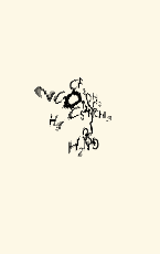 Cc1cc(C#N)c(C(F)(F)F)cc1N1C(=O)C(C)(C)N(CCCS(N)(=O)=O)C1=S